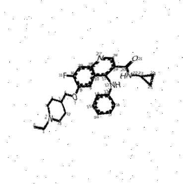 CCN1CCC(COc2cc3c(Nc4ccccc4)c(C(=O)NC4CC4)cnc3cc2F)CC1